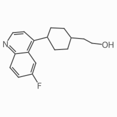 OCCC1CCC(c2ccnc3ccc(F)cc23)CC1